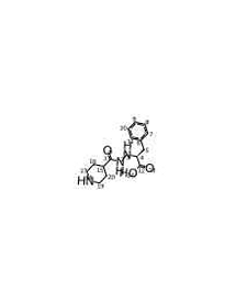 O=C(NN[C@@H](Cc1ccccc1)C(=O)O)C1CCNCC1